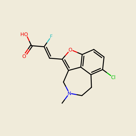 CN1CCc2c(Cl)ccc3oc(/C=C(\F)C(=O)O)c(c23)C1